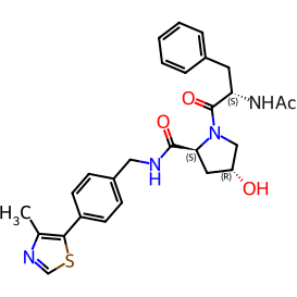 CC(=O)N[C@@H](Cc1ccccc1)C(=O)N1C[C@H](O)C[C@H]1C(=O)NCc1ccc(-c2scnc2C)cc1